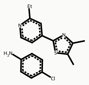 CCc1cc(-c2nc(C)c(C)s2)ccn1.Nc1ccc(Cl)cc1